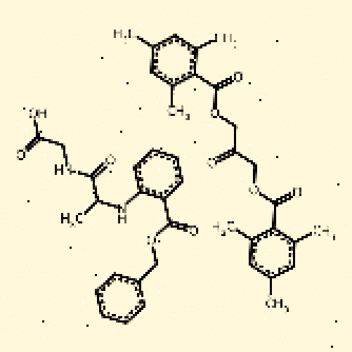 CC(Nc1ccccc1C(=O)OCc1ccccc1)C(=O)NCC(=O)O.Cc1cc(C)c(C(=O)OCC(=O)COC(=O)c2c(C)cc(C)cc2C)c(C)c1